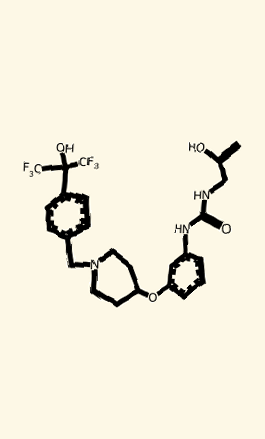 C=C(O)CNC(=O)Nc1cccc(OC2CCN(Cc3ccc(C(O)(C(F)(F)F)C(F)(F)F)cc3)CC2)c1